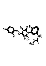 Cc1cc(OCc2ccc(F)cc2F)c(Br)c(=O)n1-c1cc(NC(=O)OC(C)(C)C)ccc1F